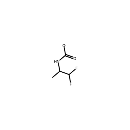 CC(NC([O])=O)C(F)F